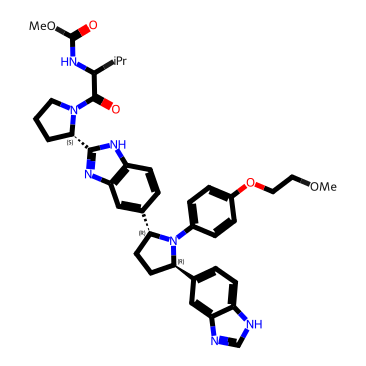 COCCOc1ccc(N2[C@@H](c3ccc4[nH]cnc4c3)CC[C@@H]2c2ccc3[nH]c([C@@H]4CCCN4C(=O)C(NC(=O)OC)C(C)C)nc3c2)cc1